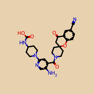 N#Cc1ccc2c(c1)C(=O)CC1(CCN(C(=O)c3cc(N4CCC(NC(=O)O)CC4)ncc3N)CC1)O2